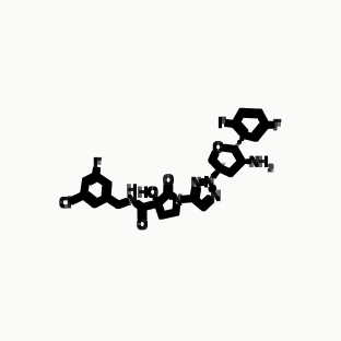 N[C@H]1C[C@@H](n2ncc(N3CC[C@](O)(C(=O)NCc4cc(F)cc(Cl)c4)C3=O)n2)CO[C@@H]1c1cc(F)ccc1F